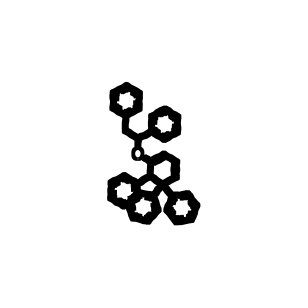 C1=CC(c2ccccc2)(c2ccccc2)C(c2ccccc2)C(OC(Cc2ccccc2)c2ccccc2)=C1